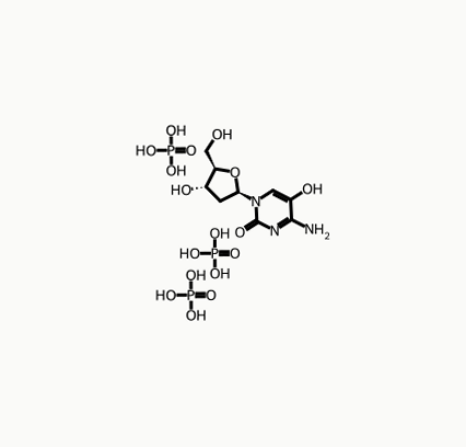 Nc1nc(=O)n([C@H]2C[C@H](O)[C@@H](CO)O2)cc1O.O=P(O)(O)O.O=P(O)(O)O.O=P(O)(O)O